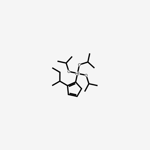 CCC(C)C1=[C]([Hf]([O]C(C)C)([O]C(C)C)[O]C(C)C)CC=C1